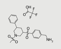 CS(=O)(=O)N1CC(c2ccccc2)CC(S(=O)(=O)c2ccc(CN)cc2)C1.O=C(O)C(F)(F)F